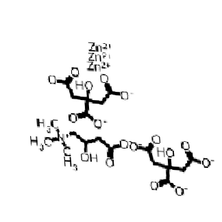 C[N+](C)(C)C[C@H](O)CC(=O)[O-].O=C([O-])CC(O)(CC(=O)[O-])C(=O)[O-].O=C([O-])CC(O)(CC(=O)[O-])C(=O)[O-].[Zn+2].[Zn+2].[Zn+2]